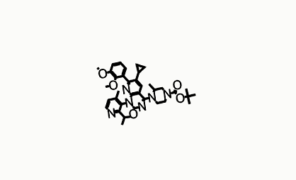 COc1cccc(-c2nc3c(cc2C2CC2)c(N2CCN(C(=O)OC(C)(C)C)CC2C)nc(=O)n3-c2c(C)ccnc2C(C)C)c1OC